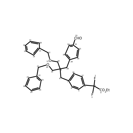 CCOC(=O)C(F)(F)c1ccc(CC(COCc2ccccc2)(COCc2ccccc2)Cc2ccc(C=O)cc2)cc1